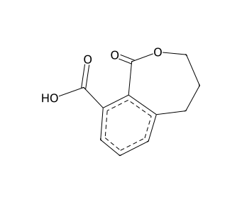 O=C(O)c1cccc2c1C(=O)OCCC2